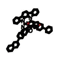 c1ccc(-c2ccc(-c3cc(-n4c5ccccc5c5ccc6c7ccccc7n(-c7nc(-c8ccccc8)nc(-c8ccc(-c9ccc%10ccccc%10c9)cc8)n7)c6c54)cc4c3oc3ccccc34)cc2)cc1